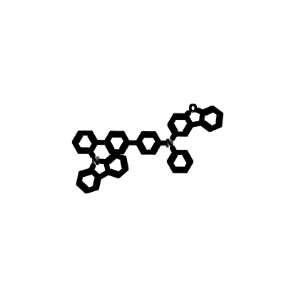 c1ccc(N(c2ccc(-c3ccc(-c4ccccc4-n4c5ccccc5c5ccccc54)cc3)cc2)c2ccc3oc4ccccc4c3c2)cc1